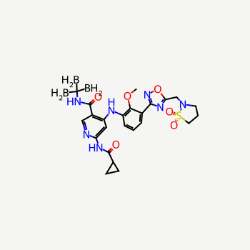 BC(B)(B)NC(=O)c1cnc(NC(=O)C2CC2)cc1Nc1cccc(-c2noc(CN3CCCS3(=O)=O)n2)c1OC